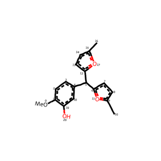 COc1ccc(C(c2ccc(C)o2)c2ccc(C)o2)cc1O